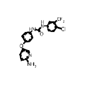 Nc1ccc(Oc2ccc(NC(=O)Nc3ccc(Cl)c(C(F)(F)F)c3)cc2)cn1